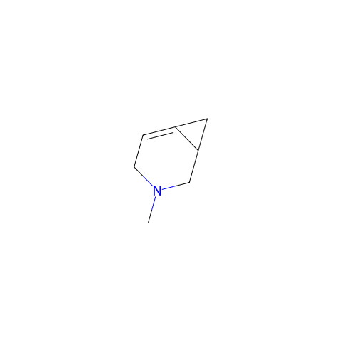 CN1CC=C2CC2C1